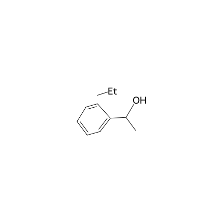 CC(O)c1ccccc1.CCC